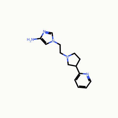 Nc1cn(CCN2CCC(c3ccccn3)C2)cn1